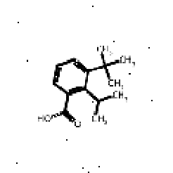 CC(C)c1c(C(=O)O)cccc1C(C)(C)C